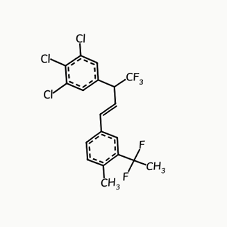 Cc1ccc(/C=C/C(c2cc(Cl)c(Cl)c(Cl)c2)C(F)(F)F)cc1C(C)(F)F